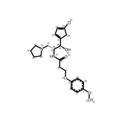 COc1ccc(OCCC(=O)N[C@H](CN2CCCC2)[C@H](O)C2=CC=C(Cl)C2)cc1